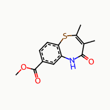 COC(=O)c1ccc2c(c1)NC(=O)C(C)=C(C)S2